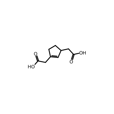 O=C(O)CC1=CC(CC(=O)O)CC1